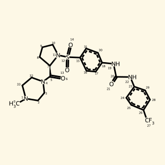 CN1CCN(C(=O)[C@H]2CCCN2S(=O)(=O)c2ccc(NC(=O)Nc3ccc(C(F)(F)F)cc3)cc2)CC1